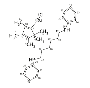 CC1=C(C)C(C)(C)[C]([Ru][Cl])=C1C.c1ccc(PCCCCCCPc2ccccc2)cc1